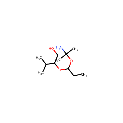 CCC(OC(CO)C(C)C)OC(C)(C)N